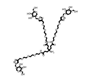 NC(CCC(=O)NCCOCCOCCOCc1cn(C[C@@H]2CO[C@H](CO)[C@H](O)[C@@H]2O)nn1)(CCC(=O)NCCOCCOCCOCc1cn(C[C@@H]2CO[C@H](CO)[C@H](O)[C@@H]2O)nn1)CCC(=O)NCCOCCOCCOCc1cn(C[C@@H]2CC[C@H](CO)[C@H](O)[C@@H]2O)nn1